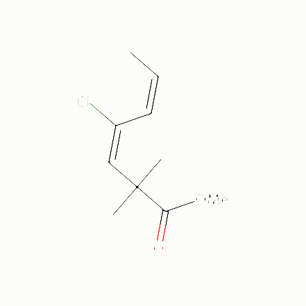 C/C=C\C(Cl)=C/C(C)(C)C(=O)OC